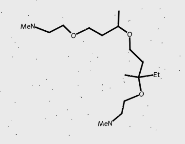 CCC(C)(CCOC(C)CCOCCNC)OCCNC